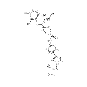 O=C(/C(=N/O)Nc1ccc(F)c(Br)c1)C1CCN(C(=O)Nc2ccc(-c3cnn(C[C@@H](O)CO)c3)cc2)CC1